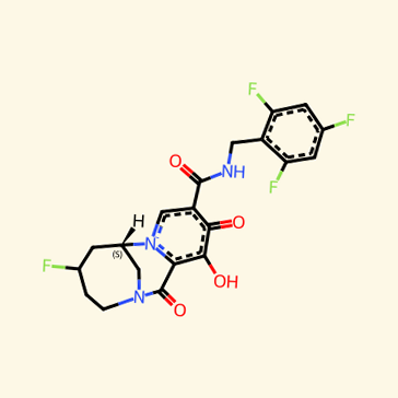 O=C(NCc1c(F)cc(F)cc1F)c1cn2c(c(O)c1=O)C(=O)N1CCC(F)C[C@H]2C1